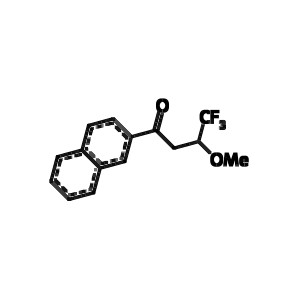 COC(CC(=O)c1ccc2ccccc2c1)C(F)(F)F